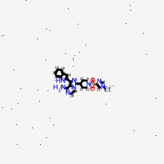 CCn1cnc(S(=O)(=O)N2CCC(c3nc(-c4cc5ccccc5[nH]4)c4c(N)nccn34)CC2)c1